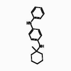 CC1(Nc2ccc(Nc3ccccc3)cc2)CCCCC1